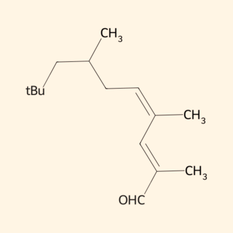 CC(=CCC(C)CC(C)(C)C)C=C(C)C=O